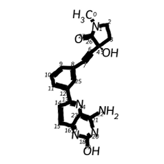 CN1CC[C@@](O)(C#Cc2cccc(-c3ccc4nc(O)nc(N)c4n3)c2)C1=O